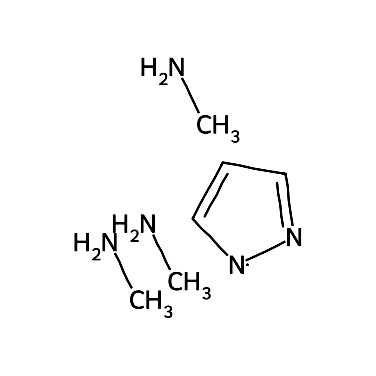 C1=C[N]N=C1.CN.CN.CN